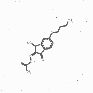 CCCCOc1ccc2c(c1)C(C)C(=NOC(C)=O)C2=O